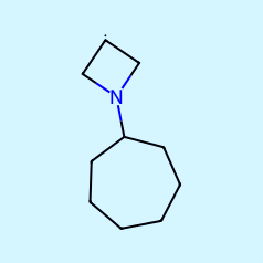 [CH]1CN(C2CCCCCC2)C1